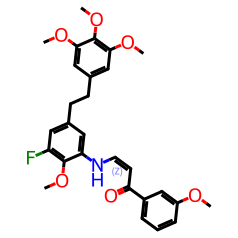 COc1cccc(C(=O)/C=C\Nc2cc(CCc3cc(OC)c(OC)c(OC)c3)cc(F)c2OC)c1